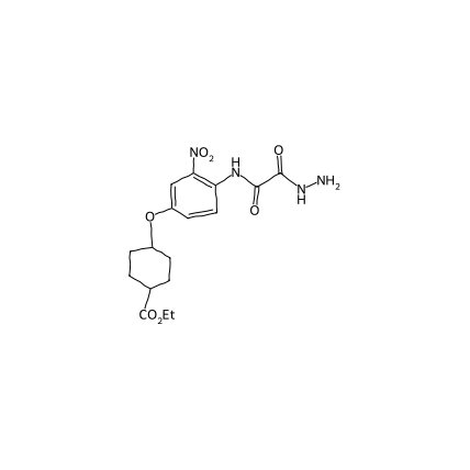 CCOC(=O)C1CCC(Oc2ccc(NC(=O)C(=O)NN)c([N+](=O)[O-])c2)CC1